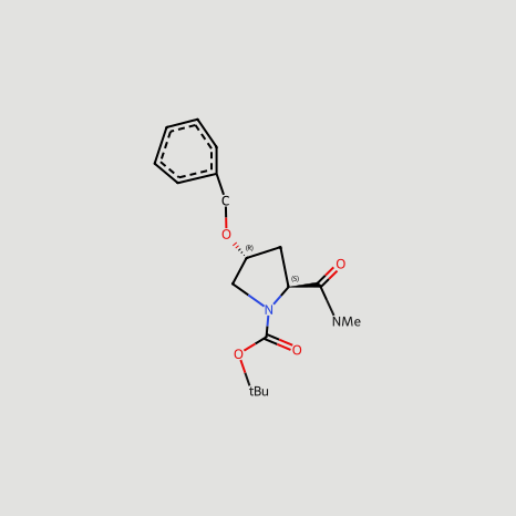 CNC(=O)[C@@H]1C[C@@H](OCc2ccccc2)CN1C(=O)OC(C)(C)C